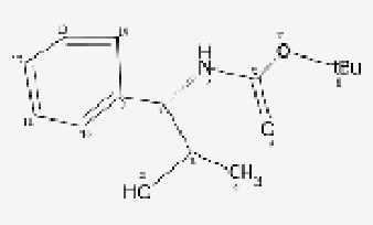 CC(O)[C@@H](NC(=O)OC(C)(C)C)c1ccccc1